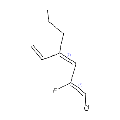 C=C/C(=C\C(F)=C\Cl)CCC